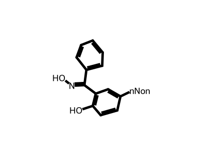 CCCCCCCCCc1ccc(O)c(/C(=N/O)c2ccccc2)c1